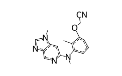 Cc1c(OCC#N)cccc1N(C)c1cc2c(cn1)ncn2C